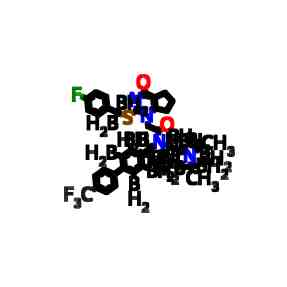 Bc1c(B)c(C(B)(B)N(C(=O)Cn2c(SC(B)(B)c3ccc(F)cc3)nc(=O)c3c2CCC3)C(B)(B)C(B)(B)N(C(B)(B)C)C(B)(B)C)c(B)c(B)c1-c1ccc(C(F)(F)F)cc1